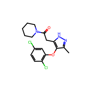 Cc1n[nH]c(CC(=O)N2CCCCC2)c1Oc1cc(Cl)ccc1Cl